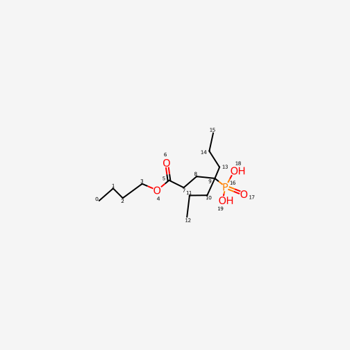 CCCCOC(=O)CCC(CCC)(CCC)P(=O)(O)O